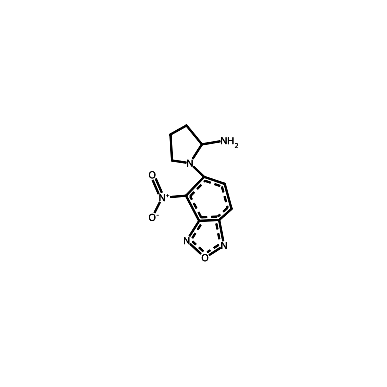 NC1CCCN1c1ccc2nonc2c1[N+](=O)[O-]